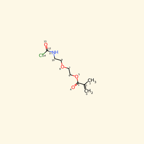 C=C(C)C(=O)OCCOCCNC(=O)Cl